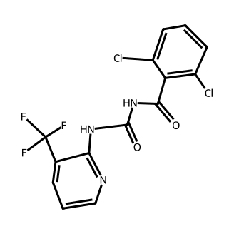 O=C(NC(=O)c1c(Cl)cccc1Cl)Nc1ncccc1C(F)(F)F